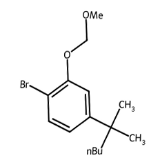 CCCCC(C)(C)c1ccc(Br)c(OCOC)c1